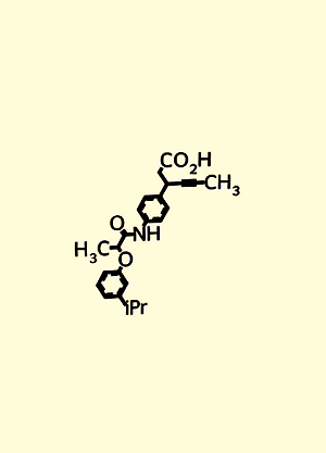 CC#CC(CC(=O)O)c1ccc(NC(=O)C(C)Oc2cccc(C(C)C)c2)cc1